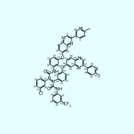 Cc1ccc(-c2cnc3ccc(Oc4cccc(NC(=O)N(c5cccc(Cl)c5)N(C(=O)Nc5cccc(C(F)(F)F)c5)c5cccc(Oc6ccc7ncc(-c8ccc(C)nc8)nc7c6)c5)c4)cc3n2)cn1